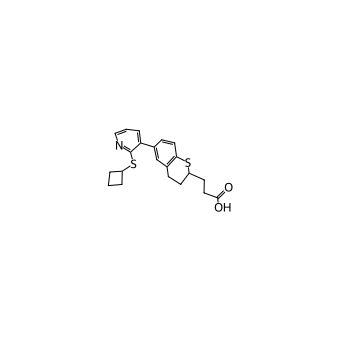 O=C(O)CCC1CCc2cc(-c3cccnc3SC3CCC3)ccc2S1